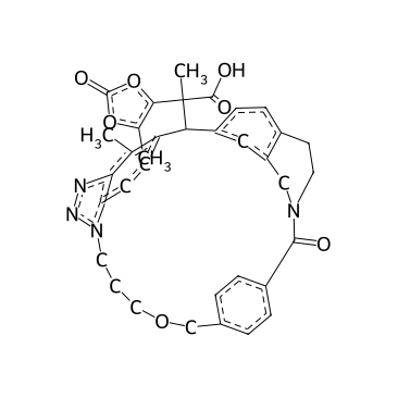 Cc1oc(=O)oc1C(C)(C(=O)O)C1c2ccc3c(c2)CN(CC3)C(=O)c2ccc(cc2)COCCCn2nnc3c(C)c1ccc32